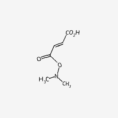 CN(C)OC(=O)/C=C/C(=O)O